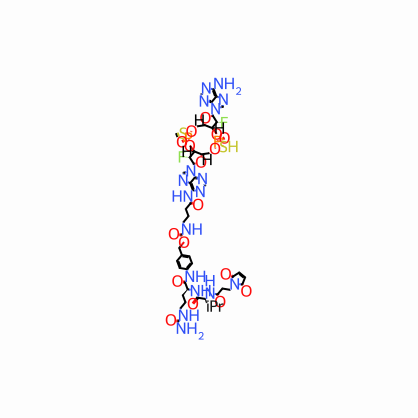 C#S[P@]1(=O)OC[C@H]2O[C@@H](n3cnc4c(N)ncnc43)[C@H](F)[C@@H]2O[P@@](=O)(S)OC[C@H]2O[C@@H](n3cnc4c(NC(=O)CCCNC(=O)OCc5ccc(NC(=O)[C@H](CCCNC(N)=O)NC(=O)[C@@H](NC(=O)CCN6C(=O)C=CC6=O)C(C)C)cc5)ncnc43)[C@H](F)[C@@H]2O1